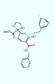 COC(=O)C1(c2ccc(C(=O)NCc3cccnc3)c(NCCc3cccc(F)c3)n2)N=CCN1